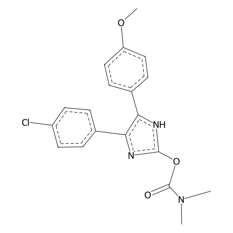 COc1ccc(-c2[nH]c(OC(=O)N(C)C)nc2-c2ccc(Cl)cc2)cc1